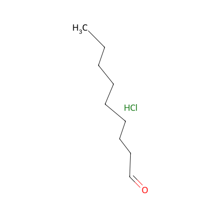 CCCCCCCCC=O.Cl